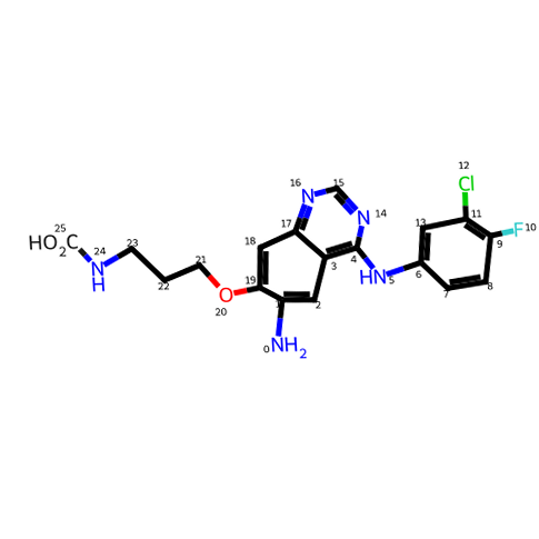 Nc1cc2c(Nc3ccc(F)c(Cl)c3)ncnc2cc1OCCCNC(=O)O